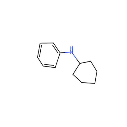 c1ccc(N[C]2CCCCC2)cc1